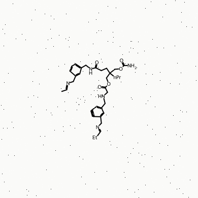 C/C=N/Cc1cccc(CNC(=O)CCC(CCC)(COC(N)=O)COC(=O)CNCc2cc#cc(C/N=C/CC)c2)c1